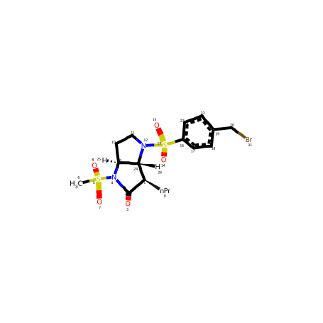 CCC[C@H]1C(=O)N(S(C)(=O)=O)[C@H]2CCN(S(=O)(=O)c3ccc(CBr)cc3)[C@H]12